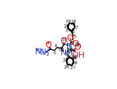 [N-]=[N+]=CC(=O)CC[C@H](N)C(=O)N(C(=O)OCc1ccccc1)[C@@H](Cc1ccccc1)C(=O)O